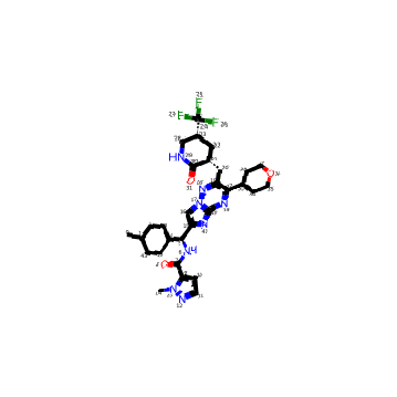 CC1CCC([C@H](NC(=O)c2ccnn2C)c2cn3nc(C[C@H]4C[C@@H](C(F)(F)F)CNC4=O)c(C4CCOCC4)nc3n2)CC1